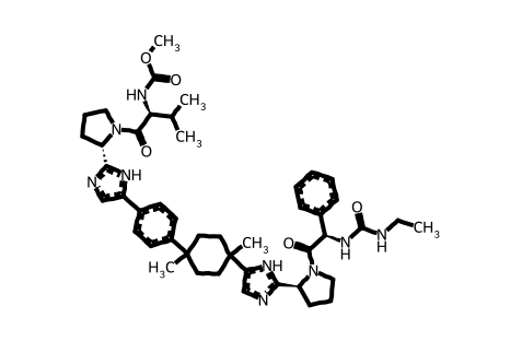 CCNC(=O)N[C@@H](C(=O)N1CCC[C@H]1c1ncc(C2(C)CCC(C)(c3ccc(-c4cnc([C@@H]5CCCN5C(=O)[C@@H](NC(=O)OC)C(C)C)[nH]4)cc3)CC2)[nH]1)c1ccccc1